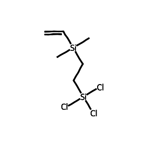 C=C[Si](C)(C)CC[Si](Cl)(Cl)Cl